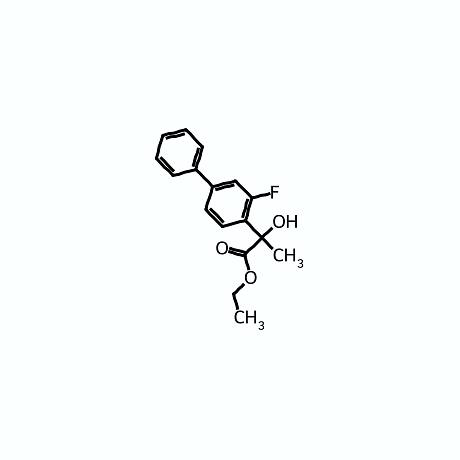 CCOC(=O)C(C)(O)c1ccc(-c2ccccc2)cc1F